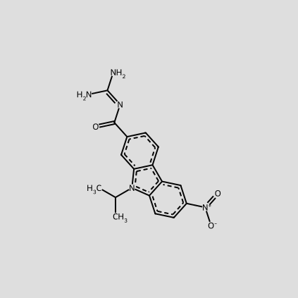 CC(C)n1c2ccc([N+](=O)[O-])cc2c2ccc(C(=O)N=C(N)N)cc21